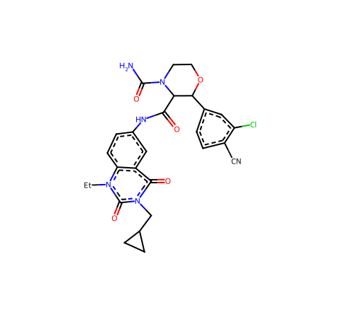 CCn1c(=O)n(CC2CC2)c(=O)c2cc(NC(=O)C3C(c4ccc(C#N)c(Cl)c4)OCCN3C(N)=O)ccc21